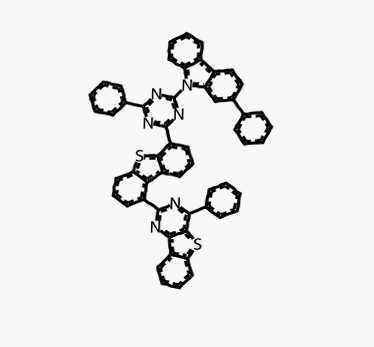 c1ccc(-c2ccc3c4ccccc4n(-c4nc(-c5ccccc5)nc(-c5cccc6c5sc5cccc(-c7nc(-c8ccccc8)c8sc9ccccc9c8n7)c56)n4)c3c2)cc1